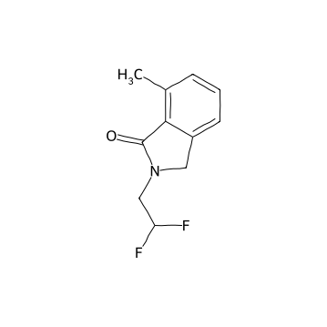 Cc1cccc2c1C(=O)N(CC(F)F)C2